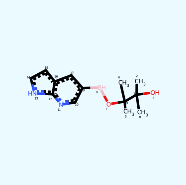 CC(C)(O)C(C)(C)OBc1cnc2[nH]ccc2c1